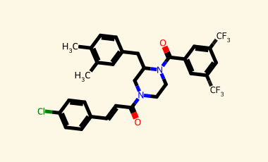 Cc1ccc(CC2CN(C(=O)/C=C/c3ccc(Cl)cc3)CCN2C(=O)c2cc(C(F)(F)F)cc(C(F)(F)F)c2)cc1C